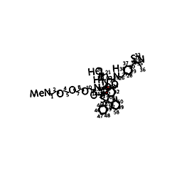 CNCCOCCOCCOCC(=O)N[C@H](C(=O)N1C[C@H](O)C[C@H]1C(=O)NCc1ccc(-c2scnc2C)cc1)C(C)(C)SC(c1ccccc1)(c1ccccc1)c1ccccc1